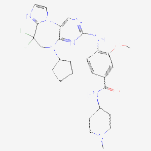 COc1cc(C(=O)NC2CCN(C)CC2)ccc1Nc1ncc2c(n1)N(C1CCCC1)CC(F)(F)c1nccn1-2